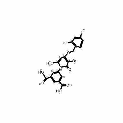 Cc1cc(OCc2ccc(F)cc2F)c(Br)c(=O)n1-c1cc(C(=O)O)cc(C(=O)O)c1